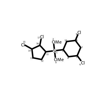 CO[Si](OC)(C1CC(Cl)CC(Cl)C1)C1CCC(Cl)C1Cl